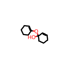 OC1(OC2=CCCCC2)C=CCCC1